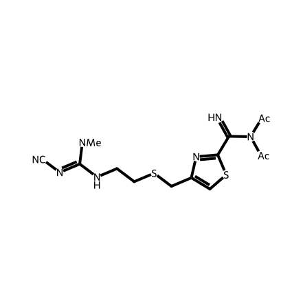 CN/C(=N\C#N)NCCSCc1csc(C(=N)N(C(C)=O)C(C)=O)n1